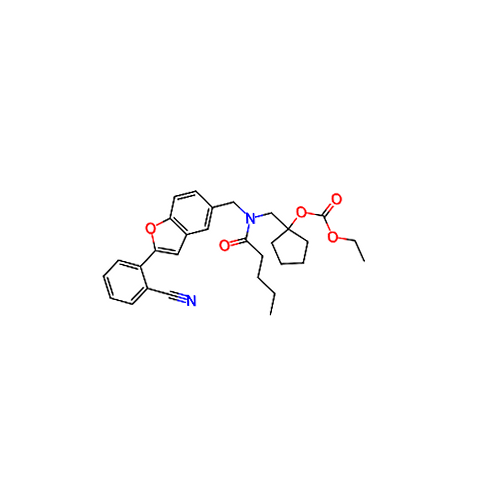 CCCCC(=O)N(Cc1ccc2oc(-c3ccccc3C#N)cc2c1)CC1(OC(=O)OCC)CCCC1